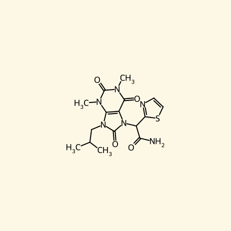 CC(C)Cn1c(=O)n(C(C(N)=O)c2nccs2)c2c(=O)n(C)c(=O)n(C)c21